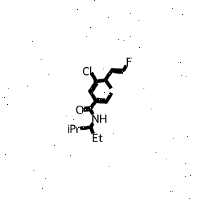 C/C=C(\C=C(\Cl)C(C)/C=C/F)C(=O)NC(CC)C(C)C